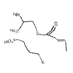 CC=CC(=O)OCC(CCC)C(=O)O.O=S(=O)(O)CC[CH2][K]